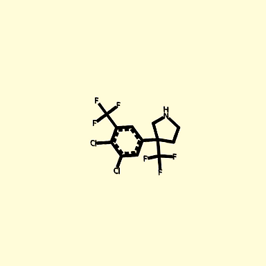 FC(F)(F)c1cc(C2(C(F)(F)F)CCNC2)cc(Cl)c1Cl